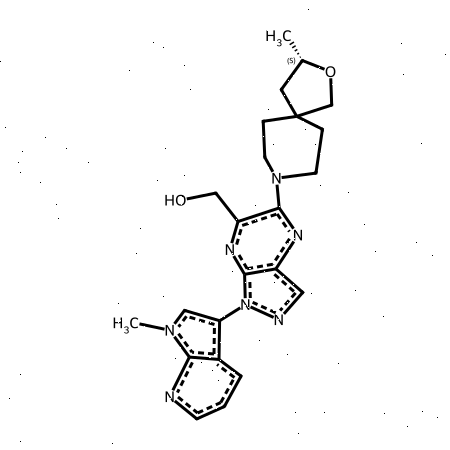 C[C@H]1CC2(CCN(c3nc4cnn(-c5cn(C)c6ncccc56)c4nc3CO)CC2)CO1